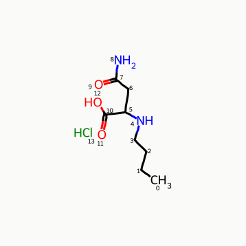 CCCCNC(CC(N)=O)C(=O)O.Cl